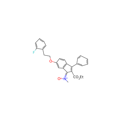 CCOC(=O)C1=C(c2ccccc2)c2ccc(OCCc3ccccc3F)cc2/C1=[N+](/C)[O-]